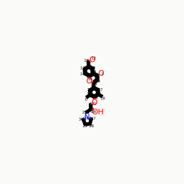 Cc1cc(-c2cc(=O)c3cc(C=O)ccc3o2)cc(C)c1OCC(O)CN1CCCC1